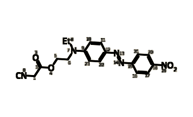 [C-]#[N+]CC(=O)OCCN(CC)c1ccc(/N=N/c2ccc([N+](=O)[O-])cc2)cc1